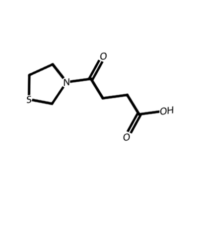 O=C(O)CCC(=O)N1CCSC1